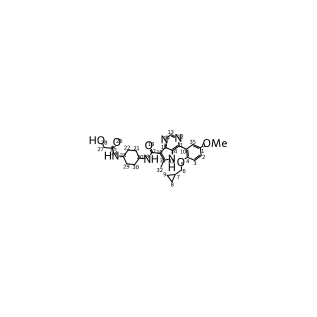 COc1ccc(OCC2CC2)c(-c2ncnc3c(C(=O)NC4CCC(NC(=O)CO)CC4)c(C)[nH]c23)c1